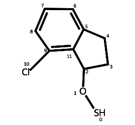 SOC1CCc2cccc(Cl)c21